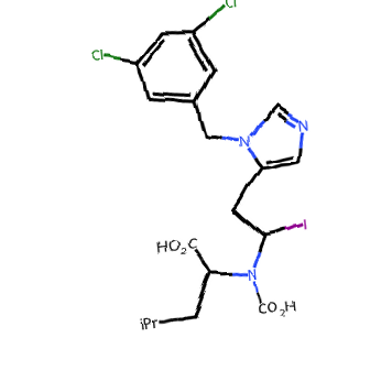 CC(C)CC(C(=O)O)N(C(=O)O)C(I)Cc1cncn1Cc1cc(Cl)cc(Cl)c1